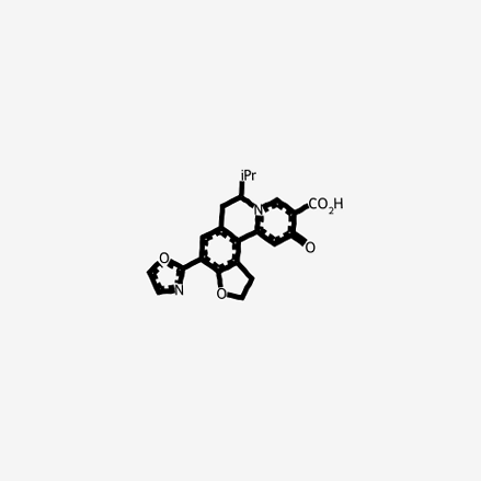 CC(C)C1Cc2cc(-c3ncco3)c3c(c2-c2cc(=O)c(C(=O)O)cn21)CCO3